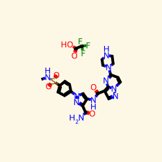 CNS(=O)(=O)c1ccc(-n2cc(NC(=O)c3cnn4ccc(N5CCNCC5)nc34)c(C(N)=O)n2)cc1.O=C(O)C(F)(F)F